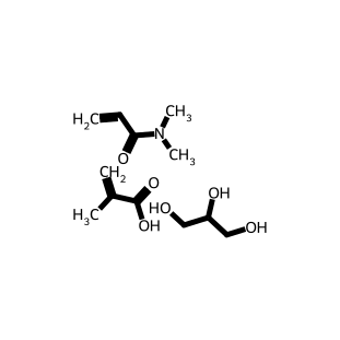 C=C(C)C(=O)O.C=CC(=O)N(C)C.OCC(O)CO